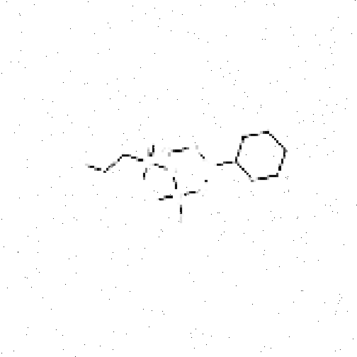 CCC[Si](F)(F)O[Si](C)(F)O[SiH](O[SiH3])C1CCCCC1